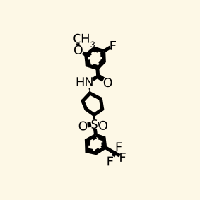 COc1cc(F)cc(C(=O)N[C@H]2CC[C@H](S(=O)(=O)c3cccc(C(F)(F)F)c3)CC2)c1